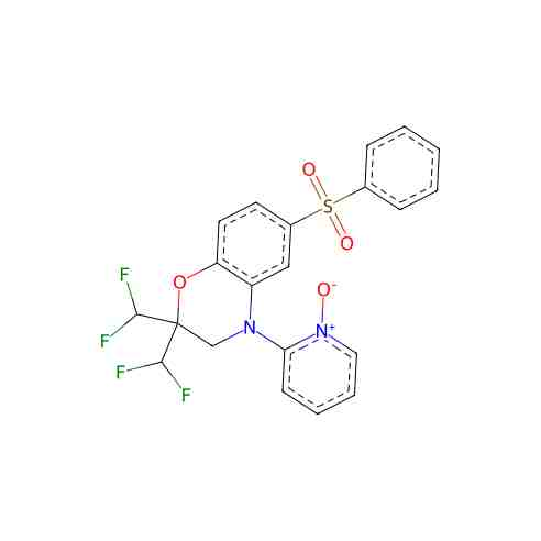 O=S(=O)(c1ccccc1)c1ccc2c(c1)N(c1cccc[n+]1[O-])CC(C(F)F)(C(F)F)O2